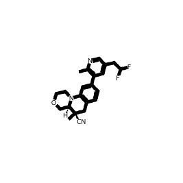 Cc1ncc([CH]C(F)F)cc1-c1ccc2c(c1)N1CCOC[C@@H]1[C@](C)(C#N)C2